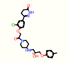 Cc1ccc(OC[C@@H](O)CNC2CCN(C(=O)COc3ccc(C4=NNC(=O)CC4)cc3Cl)CC2)cc1